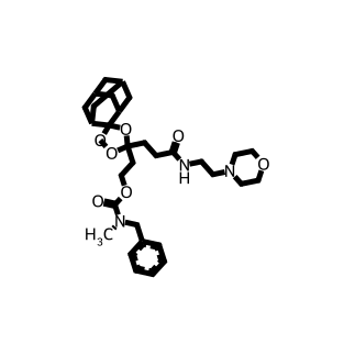 CN(Cc1ccccc1)C(=O)OCCC1(CCC(=O)NCCN2CCOCC2)OOC2(O1)C1CC3CC(C1)CC2C3